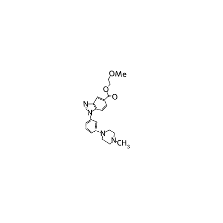 COCCOC(=O)c1ccc2c(c1)ncn2-c1cccc(N2CCN(C)CC2)c1